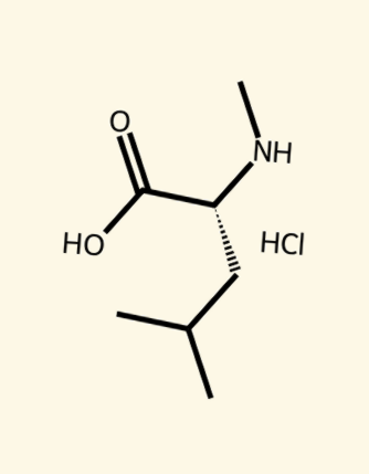 CN[C@H](CC(C)C)C(=O)O.Cl